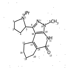 CC(C)N1CCCC1c1nn(C)c2[nH]c(=O)c3c(c12)CCCC3